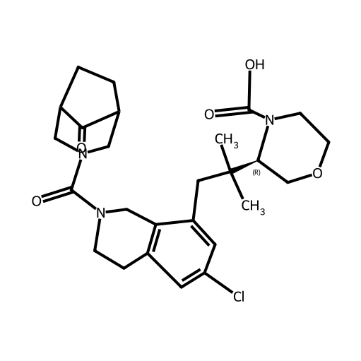 CC(C)(Cc1cc(Cl)cc2c1CN(C(=O)N1CC3CCC(C1)C3=O)CC2)[C@@H]1COCCN1C(=O)O